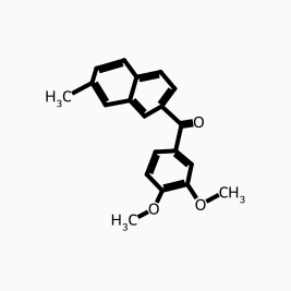 COc1ccc(C(=O)c2ccc3ccc(C)cc3c2)cc1OC